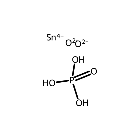 O=P(O)(O)O.[O-2].[O-2].[Sn+4]